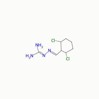 NC(N)=N/N=C/C1C(Cl)CCCC1Cl